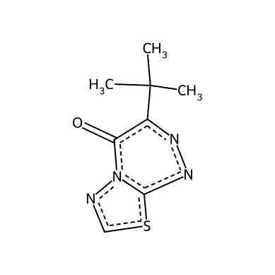 CC(C)(C)c1nnc2scnn2c1=O